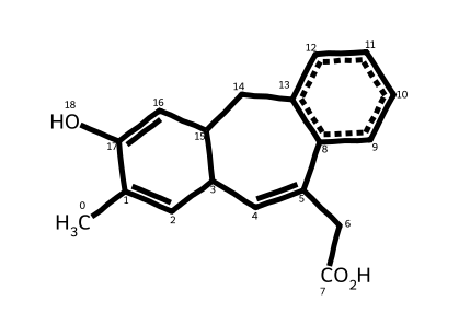 CC1=CC2C=C(CC(=O)O)c3ccccc3CC2C=C1O